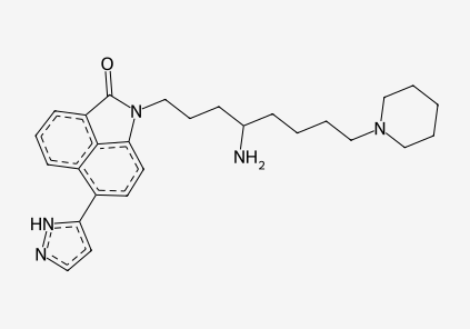 NC(CCCCN1CCCCC1)CCCN1C(=O)c2cccc3c(-c4ccn[nH]4)ccc1c23